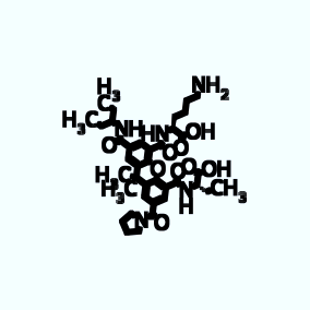 CCC(CC)NC(=O)c1cc(C(=O)N[C@@H](CCCCN)C(=O)O)c2c(c1)C(C)(C)c1cc(C(=O)N3CCCC3)cc(C(=O)N[C@@H](CC)C(=O)O)c1O2